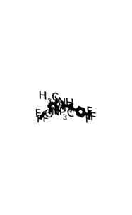 C[C@@H](NC(=O)C1C[C@]1(C)c1ccc(C(F)(F)F)cc1)c1ccc(OCC(F)(F)F)nc1